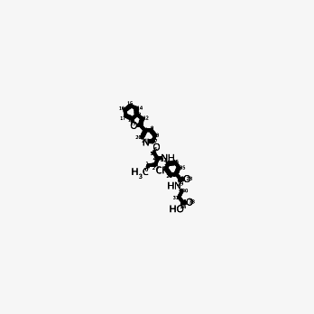 CCC(C)C(COc1ccc(-c2cc3ccccc3o2)cn1)Nc1ccc(C(=O)NCCC(=O)O)cc1